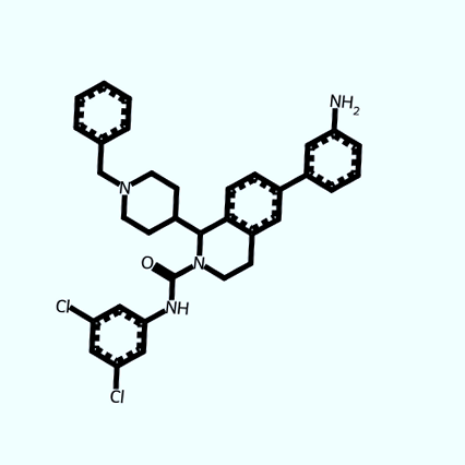 Nc1cccc(-c2ccc3c(c2)CCN(C(=O)Nc2cc(Cl)cc(Cl)c2)C3C2CCN(Cc3ccccc3)CC2)c1